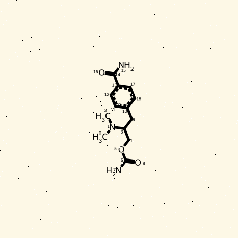 CN(C)C(COC(N)=O)Cc1ccc(C(N)=O)cc1